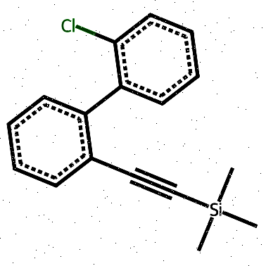 C[Si](C)(C)C#Cc1ccccc1-c1ccccc1Cl